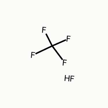 F.FC(F)(F)F